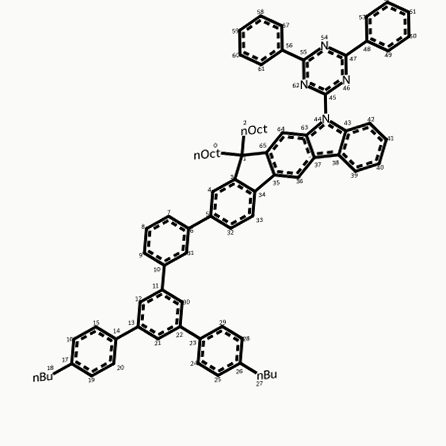 CCCCCCCCC1(CCCCCCCC)c2cc(-c3cccc(-c4cc(-c5ccc(CCCC)cc5)cc(-c5ccc(CCCC)cc5)c4)c3)ccc2-c2cc3c4ccccc4n(-c4nc(-c5ccccc5)nc(-c5ccccc5)n4)c3cc21